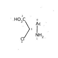 CC(N)=O.O=C(O)CCl